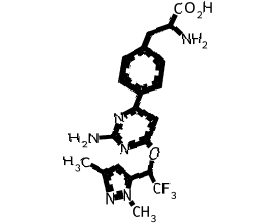 Cc1cc(C(Oc2cc(-c3ccc(CC(N)C(=O)O)cc3)nc(N)n2)C(F)(F)F)n(C)n1